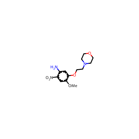 COc1cc([N+](=O)[O-])c(N)cc1OCCN1CCOCC1